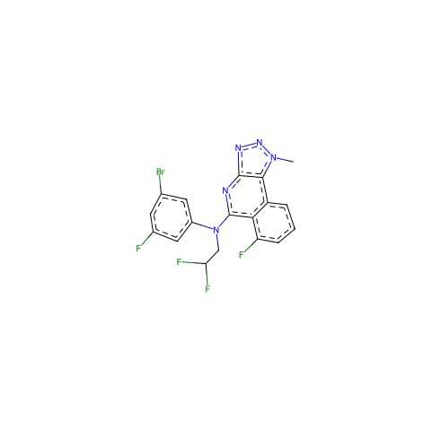 Cn1nnc2nc(N(CC(F)F)c3cc(F)cc(Br)c3)c3c(F)cccc3c21